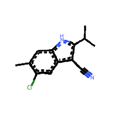 Cc1cc2[nH]c(C(C)C)c(C#N)c2cc1Cl